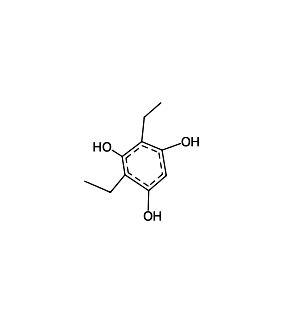 CCc1c(O)cc(O)c(CC)c1O